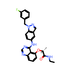 CCNC(=O)[C@@H](C)Oc1cccc2ncnc(Nc3ccc4c(cnn4Cc4cccc(F)c4)c3)c12